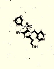 CC(C)c1nc(CCO)n(Cc2ccncc2)c1S(=O)(=O)Oc1ccccc1